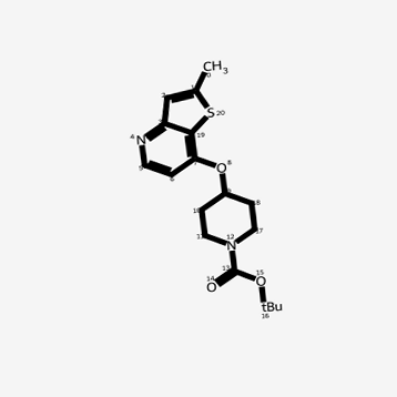 Cc1cc2nccc(OC3CCN(C(=O)OC(C)(C)C)CC3)c2s1